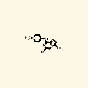 Cc1nnc2c(NC3CCN(C)CC3)nc(Br)cn12